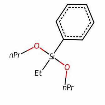 CCCO[Si](CC)(OCCC)c1ccccc1